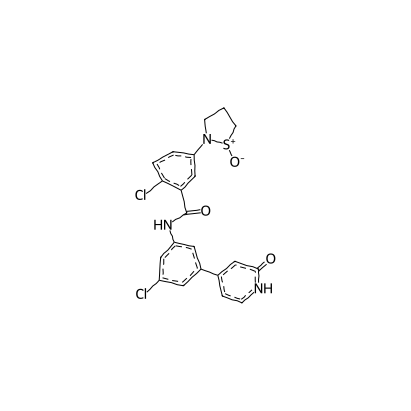 O=C(Nc1cc(Cl)cc(-c2cc[nH]c(=O)c2)c1)c1cc(N2CCC[S+]2[O-])ccc1Cl